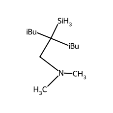 CCC(C)C([SiH3])(CN(C)C)C(C)CC